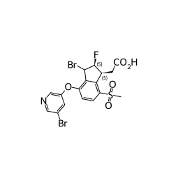 CS(=O)(=O)c1ccc(Oc2cncc(Br)c2)c2c1[C@H](CC(=O)O)[C@H](F)C2Br